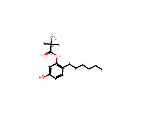 CCCCCCc1ccc(O)cc1OC(=O)C(C)(C)N